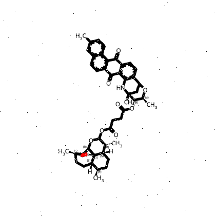 Cc1ccc2c3c(ccc2c1)C(=O)c1c(ccc2c1NC1(C)CC2O[C@@H](C)[C@@H]1OC(=O)CCC(=O)OC1O[C@@H]2O[C@]4(C)CC[C@H]5[C@H](C)CC[C@@H]([C@H]1C)[C@@]25OO4)C3=O